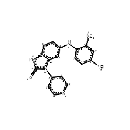 N#Cc1ccc(Nc2ccc3[nH]c(=O)n(-c4ccncc4)c3c2)c([N+](=O)[O-])c1